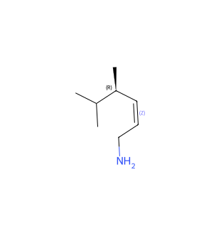 CC(C)[C@@H](C)/C=C\CN